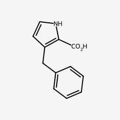 O=C(O)c1[nH]ccc1Cc1ccccc1